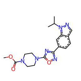 COC(=O)N1CCN(c2nc(-c3ccc4cnn(C(C)C)c4c3)no2)CC1